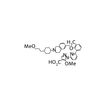 COCCCC1CCC(N2CCc3cc(COc4c(C)cccc4-c4cccc(-n5ncc(C(=O)O)c5OC)n4)ccc3C2)CC1